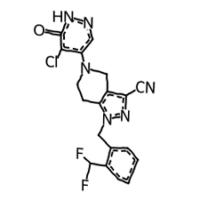 N#Cc1nn(Cc2ccccc2C(F)F)c2c1CN(c1cn[nH]c(=O)c1Cl)CC2